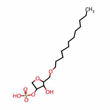 CCCCCCCCCCCCOCC1OCC(OS(=O)(=O)O)C1O